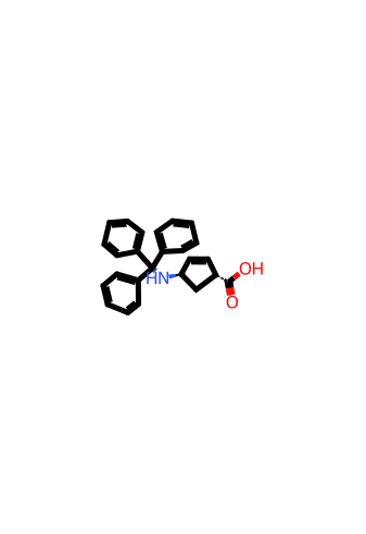 O=C(O)[C@H]1C=C[C@H](NC(c2ccccc2)(c2ccccc2)c2ccccc2)C1